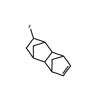 FC1CC2CC1C1C3C=CC(C3)C21